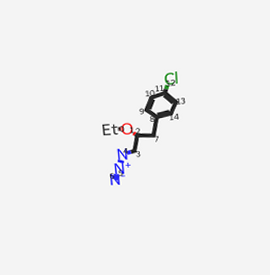 CCOC(CN=[N+]=[N-])Cc1ccc(Cl)cc1